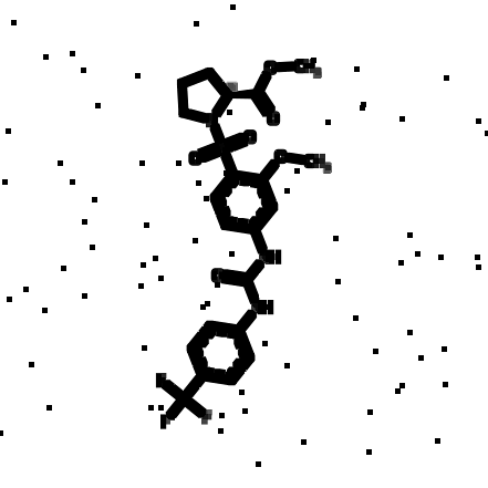 COC(=O)[C@@H]1CCCN1S(=O)(=O)c1ccc(NC(=O)Nc2ccc(C(F)(F)F)cc2)cc1OC